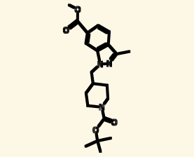 COC(=O)c1ccc2c(C)nn(CC3CCN(C(=O)OC(C)(C)C)CC3)c2c1